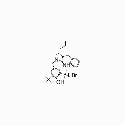 Br.CCCC1CN(Cc2cc(C(C)(C)C)c(O)c(C(C)(C)C)c2)C(=N)C1Cc1ccccc1